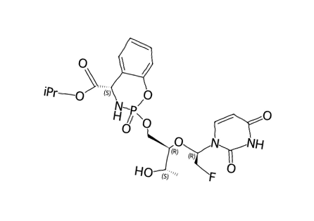 CC(C)OC(=O)[C@H]1NP(=O)(OC[C@@H](O[C@H](CF)n2ccc(=O)[nH]c2=O)[C@H](C)O)Oc2ccccc21